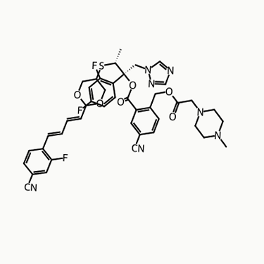 C[C@@H](SC1COC(C=CC=Cc2ccc(C#N)cc2F)OC1)[C@@](Cn1cncn1)(OC(=O)c1cc(C#N)ccc1COC(=O)CN1CCN(C)CC1)c1ccc(F)cc1F